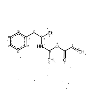 C=CC(=O)OC(C)NC(CC)Cc1ccccc1